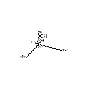 CCCCCCCCCCCCCCCCCCCCCCC(O)(CCCCCCCCCCCCCCCCCC)C(CO)(CO)COCC(CO)(CO)CO